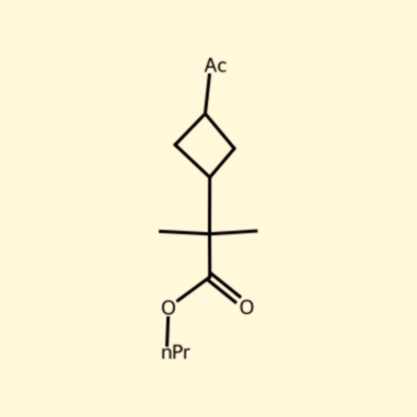 CCCOC(=O)C(C)(C)C1CC(C(C)=O)C1